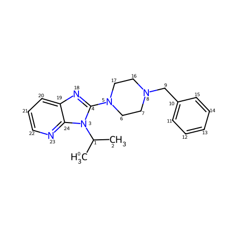 CC(C)n1c(N2CCN(Cc3ccccc3)CC2)nc2cccnc21